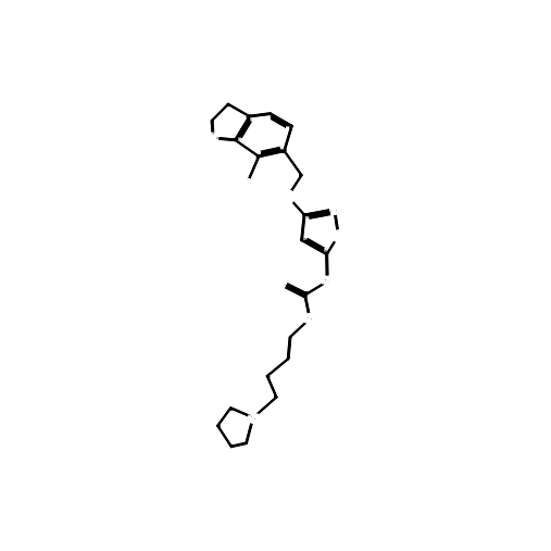 O=C(NCCCCN1CCCC1)Nc1cc(OCc2ccc3c(c2F)OCC3)ns1